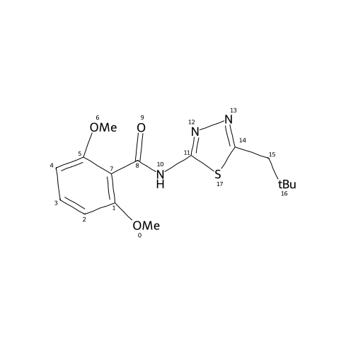 COc1cccc(OC)c1C(=O)Nc1nnc(CC(C)(C)C)s1